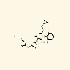 COc1cccc(OC)c1-n1c(CCC2CC2)nc(=O)c(-c2nnc(Cc3csc(C)n3)o2)c1O